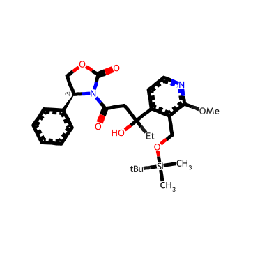 CCC(O)(CC(=O)N1C(=O)OC[C@@H]1c1ccccc1)c1ccnc(OC)c1CO[Si](C)(C)C(C)(C)C